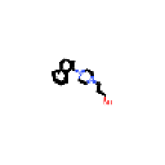 OCCCN1CCN(c2cccc3ccccc23)CC1